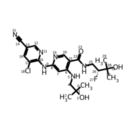 CC(C)(O)CNc1cc(Nc2ncc(C#N)cc2Cl)ncc1C(=O)NC[C@@H](F)C(C)(C)O